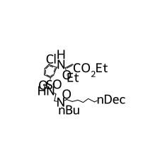 CCCCCCCCCCCCCCCC(=O)N(CCCC)CCNS(=O)(=O)c1ccc(Cl)c(NC(=CC(=O)OCC)OCC)c1